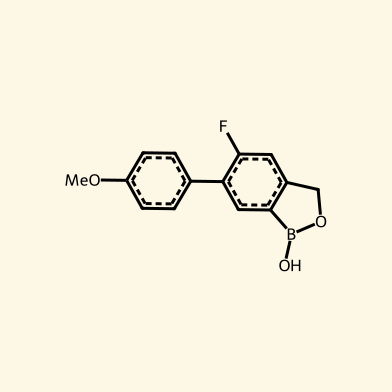 COc1ccc(-c2cc3c(cc2F)COB3O)cc1